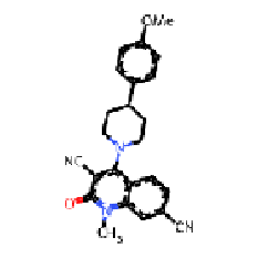 COc1ccc(C2CCN(c3c(C#N)c(=O)n(C)c4cc(C#N)ccc34)CC2)cc1